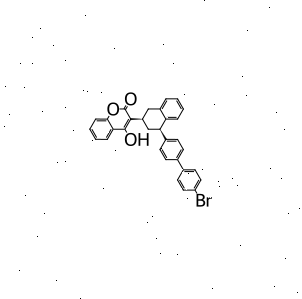 O=c1oc2ccccc2c(O)c1[C@H]1Cc2ccccc2[C@@H](c2ccc(-c3ccc(Br)cc3)cc2)C1